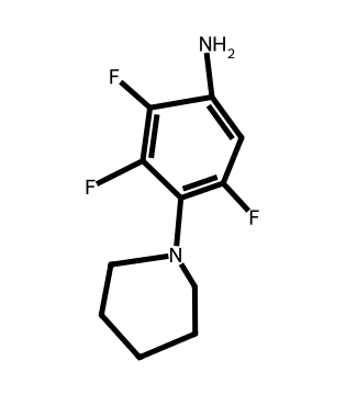 Nc1cc(F)c(N2CCCCC2)c(F)c1F